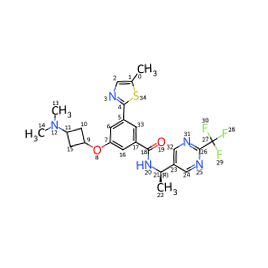 Cc1cnc(-c2cc(OC3CC(N(C)C)C3)cc(C(=O)N[C@H](C)c3cnc(C(F)(F)F)nc3)c2)s1